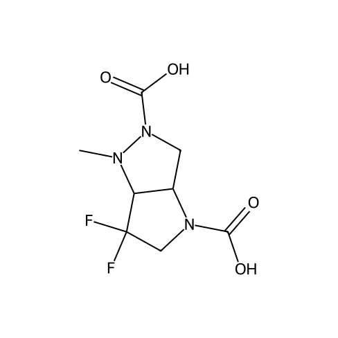 CN1C2C(CN1C(=O)O)N(C(=O)O)CC2(F)F